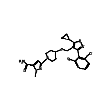 Cn1nc(N2CCC(OCc3c(-c4c(Cl)cccc4Cl)noc3C3CC3)CC2)cc1C(N)=O